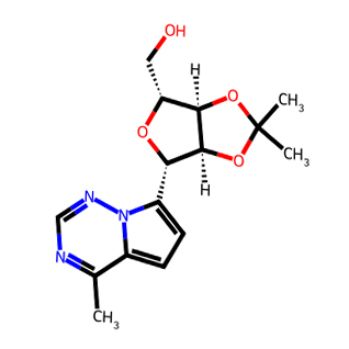 Cc1ncnn2c([C@@H]3O[C@H](CO)[C@H]4OC(C)(C)O[C@H]43)ccc12